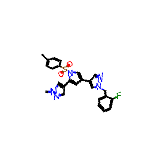 Cc1ccc(S(=O)(=O)n2cc(-c3cnn(Cc4ccccc4F)c3)cc2-c2cnn(C)c2)cc1